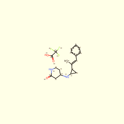 C/C(=C\c1ccccc1)C1CC1NC1CCNC(=O)C1.O=C(O)C(F)(F)F